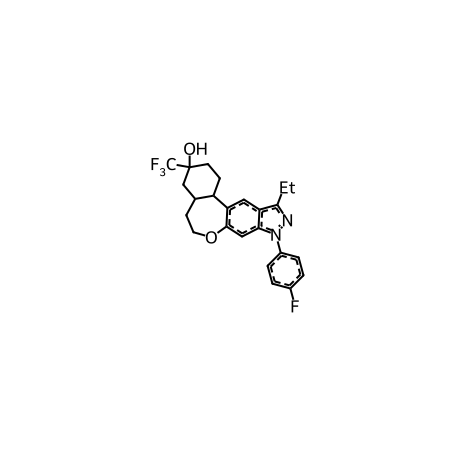 CCc1nn(-c2ccc(F)cc2)c2cc3c(cc12)C1CCC(O)(C(F)(F)F)CC1CCO3